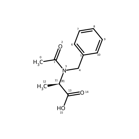 CC(=O)N(Cc1ccccc1)[C@H](C)C(=O)O